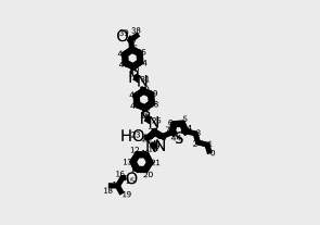 CCCCc1ccc(-c2nn(-c3ccc(OCC(C)C)cc3)c(O)c2/N=N/c2ccc(/N=N/c3ccc(C(C)=O)cc3)cc2)s1